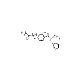 CC(Oc1ccccc1)N1CCc2cc(CNC(N)=O)ccc21